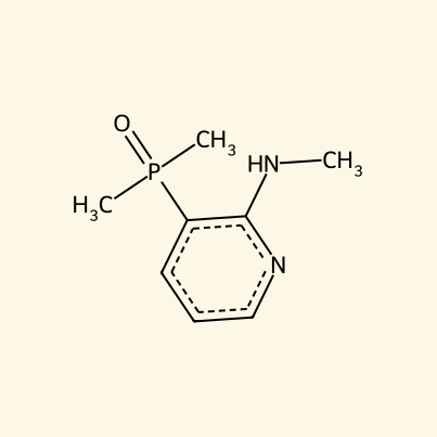 CNc1ncccc1P(C)(C)=O